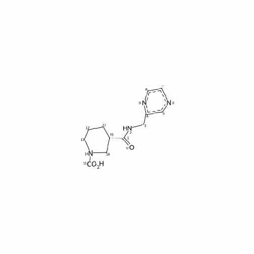 O=C(NCc1cnccn1)[C@H]1CCCN(C(=O)O)C1